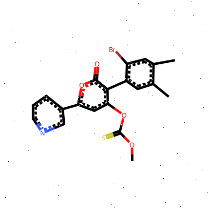 COC(=S)Oc1cc(-c2cccnc2)oc(=O)c1-c1cc(C)c(C)cc1Br